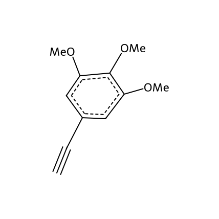 C#Cc1cc(OC)c(OC)c(OC)c1